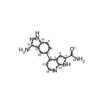 NC(=O)c1cc2c(-c3ccc4[nH]nc(N)c4c3)ccnc2[nH]1